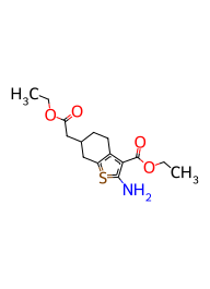 CCOC(=O)CC1CCc2c(sc(N)c2C(=O)OCC)C1